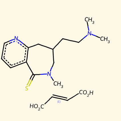 CN(C)CCC1Cc2ncccc2C(=S)N(C)C1.O=C(O)/C=C/C(=O)O